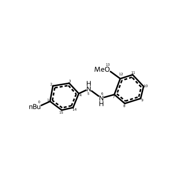 CCCCc1ccc(NNc2ccccc2OC)cc1